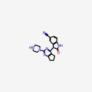 N#Cc1ccc2c(c1)C(c1nc(N3CCNCC3)nc3c1CCC3)C(=O)N2